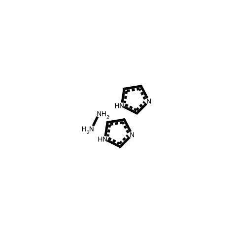 NN.c1c[nH]cn1.c1c[nH]cn1